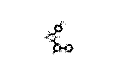 C[C@H](O)[C@@H](NC(=O)c1cc(=O)[nH]c(-c2ncccn2)n1)c1ccc(C(F)(F)F)cc1